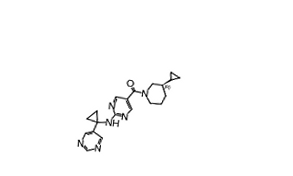 O=C(c1cnc(NC2(c3cncnc3)CC2)nc1)N1CCC[C@H](C2CC2)C1